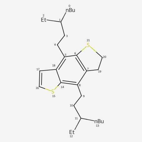 CCCCC(CC)CCc1c2c(c(CCC(CC)CCCC)c3sccc13)CCS2